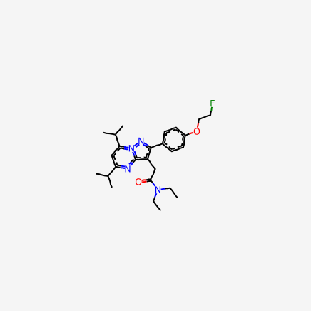 CCN(CC)C(=O)Cc1c(-c2ccc(OCCF)cc2)nn2c(C(C)C)cc(C(C)C)nc12